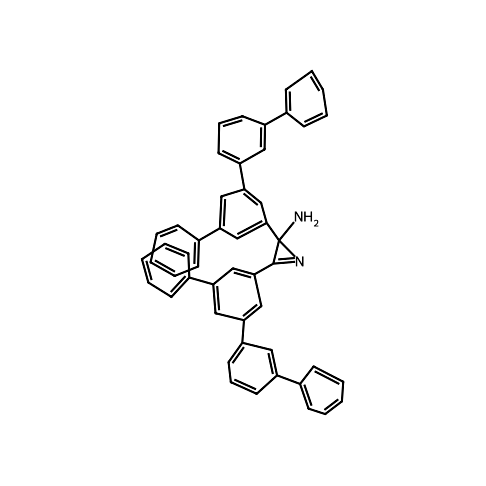 NC1(c2cc(-c3ccccc3)cc(-c3cccc(-c4ccccc4)c3)c2)N=C1c1cc(-c2ccccc2)cc(-c2cccc(-c3ccccc3)c2)c1